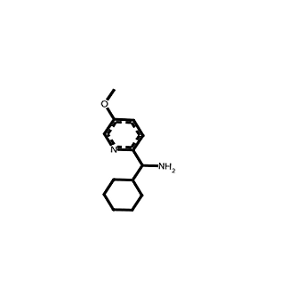 COc1ccc(C(N)C2CCCCC2)nc1